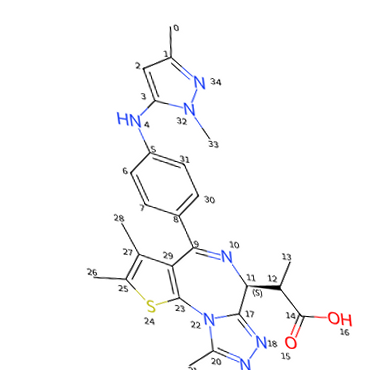 Cc1cc(Nc2ccc(C3=N[C@@H](C(C)C(=O)O)c4nnc(C)n4-c4sc(C)c(C)c43)cc2)n(C)n1